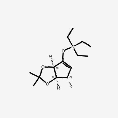 CC[Si](CC)(CC)OC1=C[C@H](C)[C@H]2OC(C)(C)O[C@@H]12